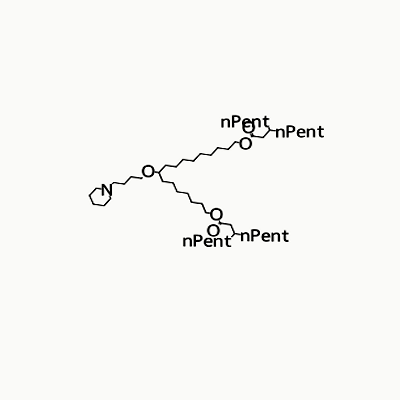 CCCCCC(CCCCC)CC(=O)OCCCCCCCCCC(CCCCCCCOC(=O)CC(CCCCC)CCCCC)OCCCCN1CCCCC1